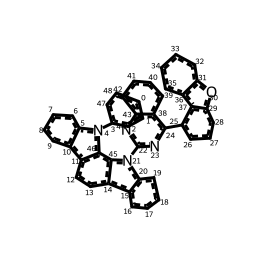 c1ccc(-n2c3ccccc3c3ccc4c5ccccc5n(-c5nc(-c6cccc7oc8ccccc8c67)c6ccccc6n5)c4c32)cc1